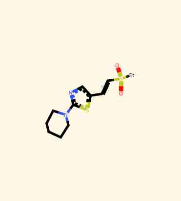 CCS(=O)(=O)/C=C/c1cnc(N2CCCCC2)s1